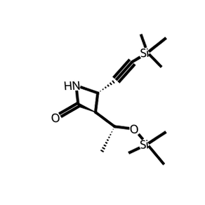 C[C@@H](O[Si](C)(C)C)[C@H]1C(=O)N[C@@H]1C#C[Si](C)(C)C